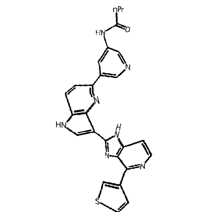 CCCC(=O)Nc1cncc(-c2ccc3[nH]cc(-c4nc5c(-c6ccsc6)nccc5[nH]4)c3n2)c1